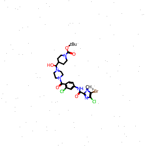 Cn1c(C(=O)Nc2ccc(C(=O)N3CCN(C(O)C4CCN(C(=O)OC(C)(C)C)CC4)CC3)c(Cl)c2)nc(Cl)c1Br